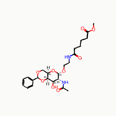 COC(=O)CCCCC(=O)NCCO[C@H]1O[C@@H]2COC(c3ccccc3)O[C@@H]2[C@H](O)[C@H]1NC(C)=O